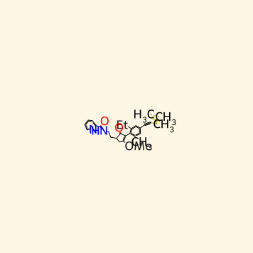 CCc1cc(C#CS(C)(C)C)cc(C)c1C1=C(OC)CC(CCNC(=O)c2ccccn2)C1=O